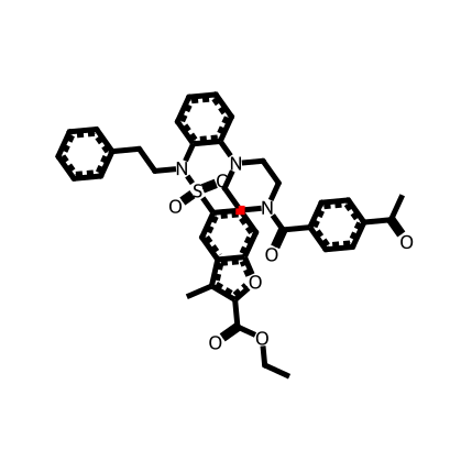 CCOC(=O)c1oc2ccc(S(=O)(=O)N(CCc3ccccc3)c3ccccc3N3CCN(C(=O)c4ccc(C(C)=O)cc4)CC3)cc2c1C